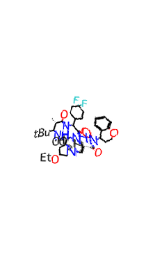 CCO[C@@H]1C[C@H]2CN(C(=O)[C@@H](NC(=O)[C@@H](C)C(NC(=O)O)C(C)(C)C)C3CCC(F)(F)CC3)[C@H](C(=O)N[C@@H]3CCOc4ccccc43)CN2C1